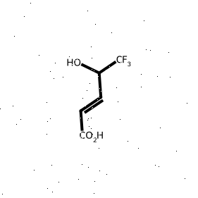 O=C(O)/C=C/C(O)C(F)(F)F